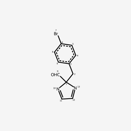 O=CC1(Cc2ccc(Br)cc2)N=CC=N1